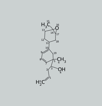 C=CCC(O)C1(C)C=CC=C(C2CCC3(C)OC3C2)C1